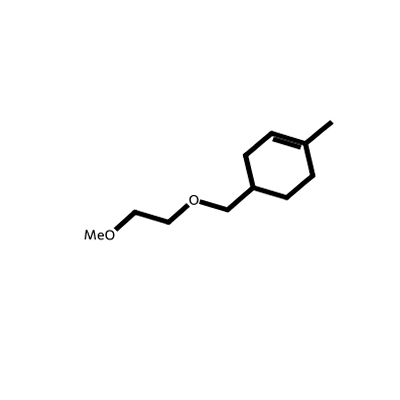 COCCOCC1CC=C(C)CC1